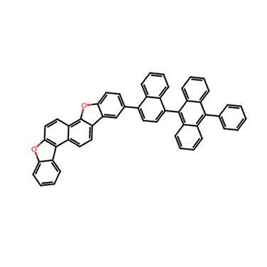 c1ccc(-c2c3ccccc3c(-c3ccc(-c4ccc5oc6c(ccc7c6ccc6oc8ccccc8c67)c5c4)c4ccccc34)c3ccccc23)cc1